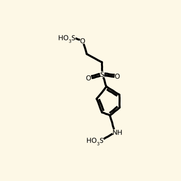 O=S(=O)(O)Nc1ccc(S(=O)(=O)CCOS(=O)(=O)O)cc1